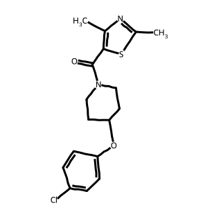 Cc1nc(C)c(C(=O)N2CCC(Oc3ccc(Cl)cc3)CC2)s1